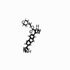 O=C(OCCN1CCOCC1)c1[nH]nnc1-c1ccc2c(c1)Cc1cc(-c3c[nH]nn3)ccc1-2